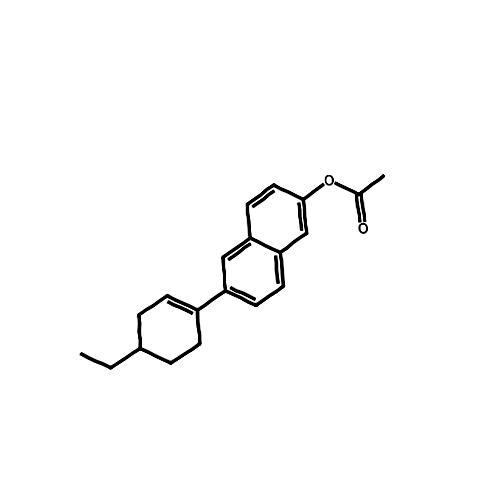 CCC1CC=C(c2ccc3cc(OC(C)=O)ccc3c2)CC1